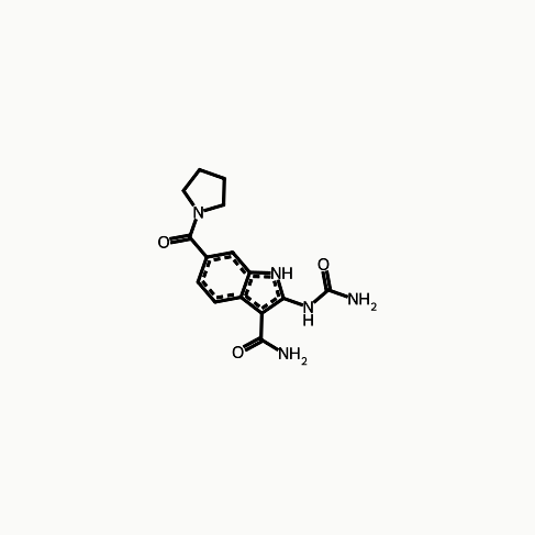 NC(=O)Nc1[nH]c2cc(C(=O)N3CCCC3)ccc2c1C(N)=O